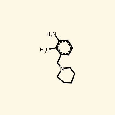 Cc1c(N)cccc1CN1CCCCC1